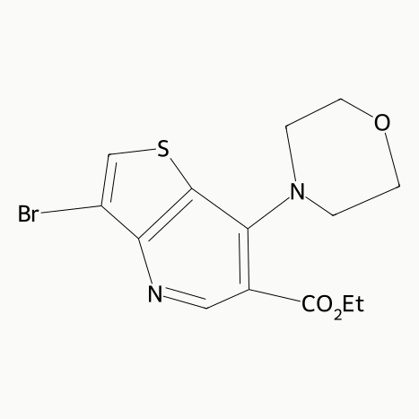 CCOC(=O)c1cnc2c(Br)csc2c1N1CCOCC1